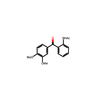 COc1ccc(C(=O)c2ccccc2NC(C)=O)cc1OC